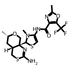 Cc1nc(C(=O)NC2=CSC([C@]34CO[C@@H](C)C[C@H]3CSC(N)=N4)N2C)c(C(F)(F)F)o1